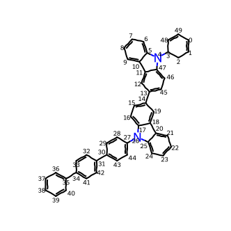 C1=CCC(n2c3ccccc3c3cc(-c4ccc5c(c4)c4ccccc4n5-c4ccc(-c5ccc(-c6ccccc6)cc5)cc4)ccc32)C=C1